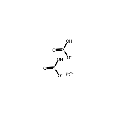 O=S([O-])O.O=S([O-])O.[Pt+2]